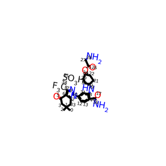 CC1(C)CC(=O)c2c(C(F)(F)F)nn(-c3ccc(C(N)=O)c(NC4CCC(OC(=O)CN)CC4)c3)c2C1.CS(=O)(=O)O